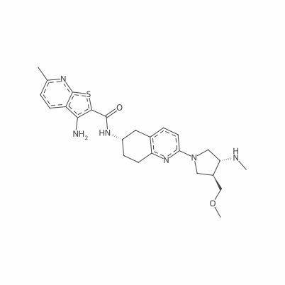 CN[C@H]1CN(c2ccc3c(n2)CC[C@H](NC(=O)c2sc4nc(C)ccc4c2N)C3)C[C@@H]1COC